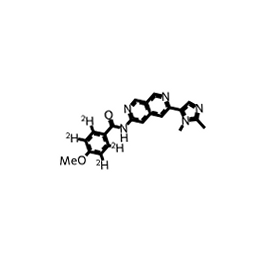 [2H]c1c([2H])c(C(=O)Nc2cc3cc(-c4cnc(C)n4C)ncc3cn2)c([2H])c([2H])c1OC